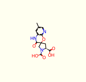 Cc1cnc2c(c1)NC(=O)C1(C[C@@H](C(=O)O)N(C(=O)O)C1)O2